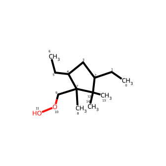 CCC1CC(CC)C(C)(COO)C1(C)C